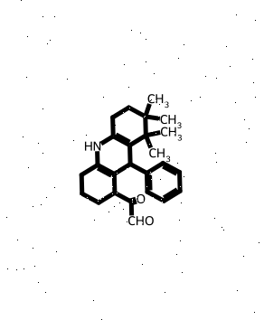 CC1(C)CCC2=C(C(c3ccccc3)C3=C(CCCC3C(=O)C=O)N2)C1(C)C